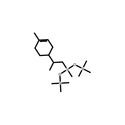 CC1=CCC(C(C)C[Si](C)(O[Si](C)(C)C)O[Si](C)(C)C)CC1